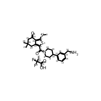 CSc1sc(C(=O)N2CCC(c3cccc(CN)c3)CC2)c2c1C(=O)CC(C)(C)C2.O=C(O)C(F)(F)F